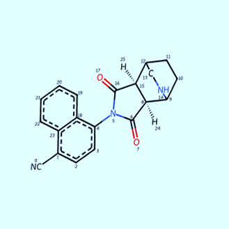 N#Cc1ccc(N2C(=O)[C@@H]3C4CCC(CN4)[C@@H]3C2=O)c2ccccc12